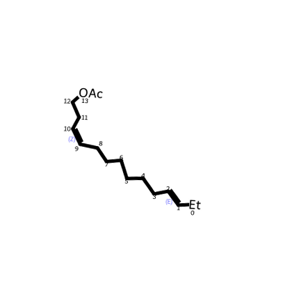 CC/C=C/CCCCCC/C=C\CCOC(C)=O